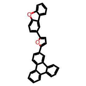 c1ccc2c(c1)oc1ccc(-c3ccc(-c4ccc5c6ccccc6c6ccccc6c5c4)o3)cc12